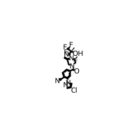 C[C@H]1CN(C(=O)c2ccc(C#N)c(-n3cc(Cl)cn3)c2)Cc2cnc([C@@](C)(O)C(F)(F)F)n21